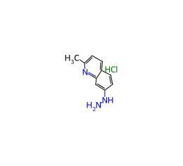 Cc1ccc2ccc(NN)cc2n1.Cl